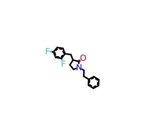 O=C1C(Cc2ccc(F)cc2F)CCN1CCc1ccccc1